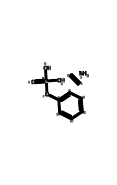 C=C.N.O=P(O)(O)Oc1ccccc1